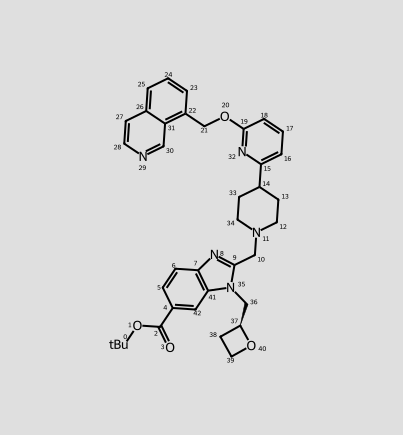 CC(C)(C)OC(=O)c1ccc2nc(CN3CCC(c4cccc(OCc5cccc6ccncc56)n4)CC3)n(C[C@@H]3CCO3)c2c1